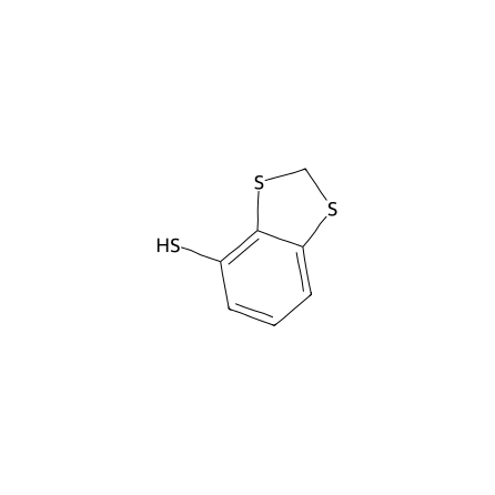 Sc1cccc2c1SCS2